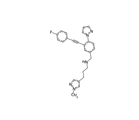 Cn1cc(CCCNCc2ccc(-n3cccn3)c(C#Cc3ccc(F)cc3)c2)cn1